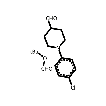 CC(C)(C)OC=O.O=CC1CCN(c2ccc(Cl)cc2)CC1